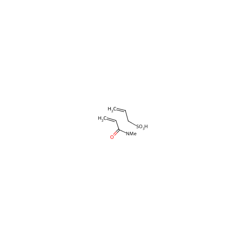 C=CC(=O)NC.C=CCS(=O)(=O)O